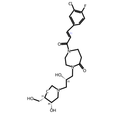 O=C(/C=C/c1ccc(F)c(Cl)c1)N1CCC(=O)N(C[C@@H](O)CN2CC[C@@H](CO)[C@@H](O)C2)CC1